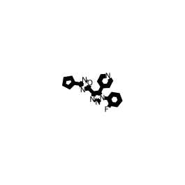 Fc1ccccc1-n1nnc(-c2nc(C3=CCC=C3)no2)c1-c1ccncc1